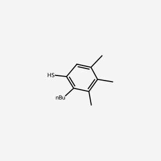 CCCCc1c(S)cc(C)c(C)c1C